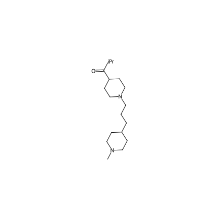 CC(C)C(=O)C1CCN(CCCC2CCN(C)CC2)CC1